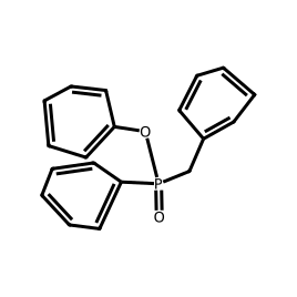 O=P(Cc1ccccc1)(Oc1ccccc1)c1ccccc1